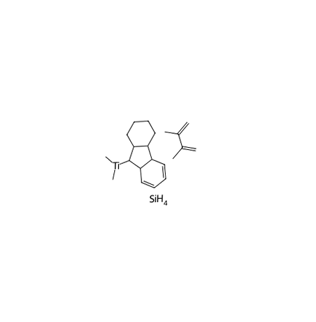 C=C(C)C(=C)C.[CH3][Ti]([CH3])[CH]1C2C=CC=CC2C2CCCCC21.[SiH4]